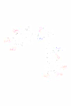 CC(CCC(=Cc1cc(O)c(O)c(O)c1)C(N)=O)NC(=O)C(C#N)=Cc1cc(O)c(O)c(O)c1